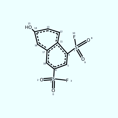 O=S(=O)(F)c1cc(S(=O)(=O)F)c2ccc(O)cc2c1